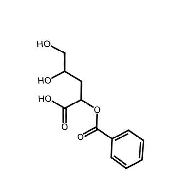 O=C(OC(CC(O)CO)C(=O)O)c1ccccc1